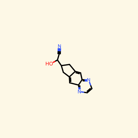 N#CC(O)C1Cc2cc3nccnc3cc2C1